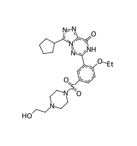 CCOc1ccc(S(=O)(=O)N2CCN(CCO)CC2)cc1-c1nn2c(C3CCCC3)nnc2c(=O)[nH]1